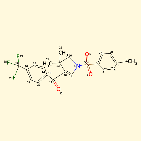 Cc1ccc(S(=O)(=O)N2C=C(C(=O)c3ccc(C(F)(F)F)cc3)C(C)(C)C2)cc1